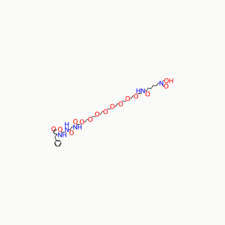 O=C=C(Cc1ccccc1)NC(=O)CNC(=O)CNC(=O)COCCOCCOCCOCCOCCOCCOCCOCCNC(=O)CCCCCN(C=O)CO